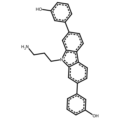 NCCCn1c2cc(-c3cccc(O)c3)ccc2c2ccc(-c3cccc(O)c3)cc21